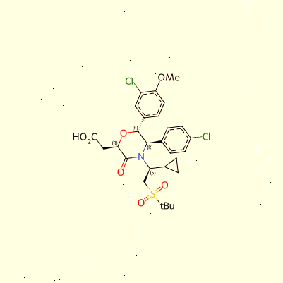 COc1ccc([C@H]2O[C@H](CC(=O)O)C(=O)N([C@H](CS(=O)(=O)C(C)(C)C)C3CC3)[C@@H]2c2ccc(Cl)cc2)cc1Cl